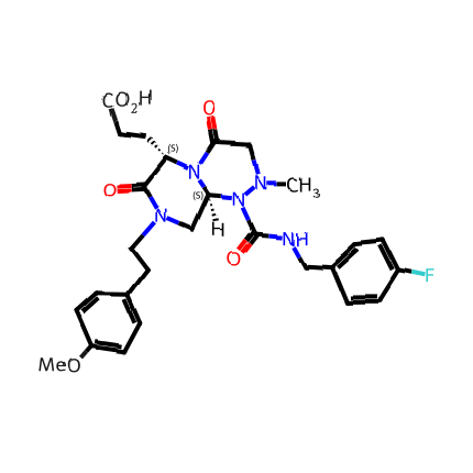 COc1ccc(CCN2C[C@H]3N(C(=O)CN(C)N3C(=O)NCc3ccc(F)cc3)[C@@H](CCC(=O)O)C2=O)cc1